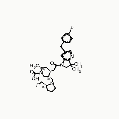 C[C@@H]1CN(CC(=O)N2CC(C)(C)c3ncc(Cc4ccc(F)cc4)cc32)[C@@H](CN2CCC[C@H]2CF)CN1C(=O)O